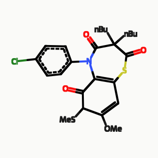 CCCCC1(CCCC)C(=O)SC2=C(C(=O)C(SC)C(OC)=C2)N(c2ccc(Cl)cc2)C1=O